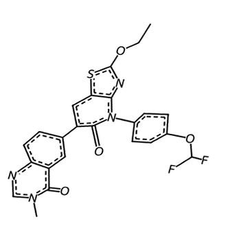 CCOc1nc2c(cc(-c3ccc4ncn(C)c(=O)c4c3)c(=O)n2-c2ccc(OC(F)F)cc2)s1